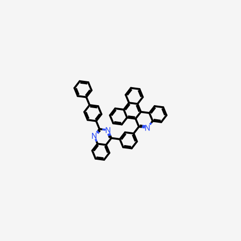 c1ccc(-c2ccc(-c3nc(-c4cccc(-c5nc6ccccc6c6c7ccccc7c7ccccc7c56)c4)c4ccccc4n3)cc2)cc1